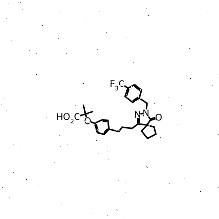 CC(C)(Oc1ccc(CCCC2=NN(Cc3ccc(C(F)(F)F)cc3)C(=O)C23CCCC3)cc1)C(=O)O